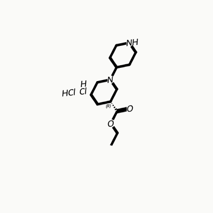 CCOC(=O)[C@@H]1CCCN(C2CCNCC2)C1.Cl.Cl